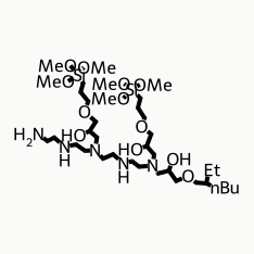 CCCCC(CC)COCC(O)CN(CCNCCN(CCNCCN)CC(O)COCCC[Si](OC)(OC)OC)CC(O)COCCC[Si](OC)(OC)OC